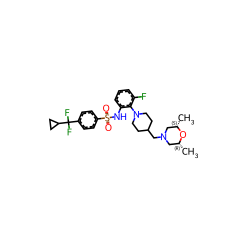 C[C@@H]1CN(CC2CCN(c3c(F)cccc3NS(=O)(=O)c3ccc(C(F)(F)C4CC4)cc3)CC2)C[C@H](C)O1